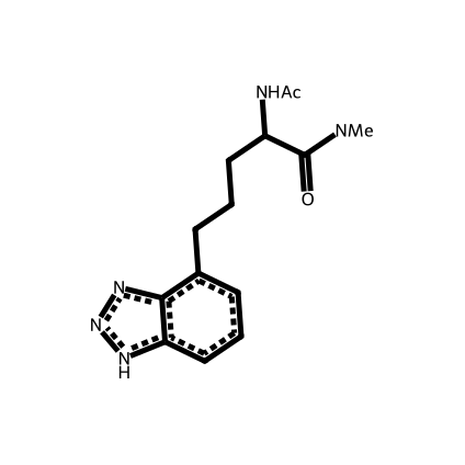 CNC(=O)C(CCCc1cccc2[nH]nnc12)NC(C)=O